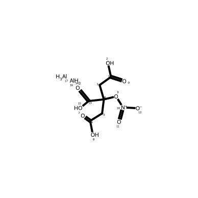 O=C(O)CC(CC(=O)O)(O[N+](=O)[O-])C(=O)O.[AlH3].[AlH3]